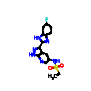 C=CS(=O)(=O)Nc1cnc2[nH]nc(-c3nc4ccc(F)cc4[nH]3)c2c1